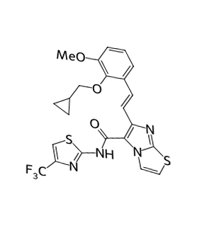 COc1cccc(/C=C/c2nc3sccn3c2C(=O)Nc2nc(C(F)(F)F)cs2)c1OCC1CC1